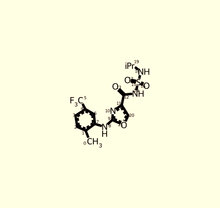 Cc1ccc(C(F)(F)F)cc1Nc1nc(C(=O)NS(=O)(=O)NC(C)C)co1